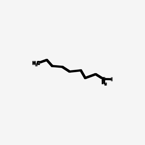 CCCCCCCC[SiH2]I